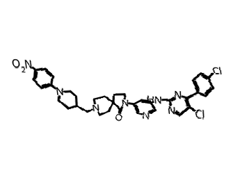 O=C1N(c2cncc(Nc3ncc(Cl)c(-c4ccc(Cl)cc4)n3)c2)CCC12CCN(CC1CCN(c3ccc([N+](=O)[O-])cc3)CC1)CC2